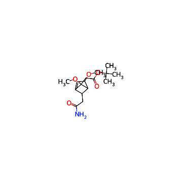 COC1C=C2C(CC(N)=O)C1C2(CC(=O)OC(C)(C)C)OC